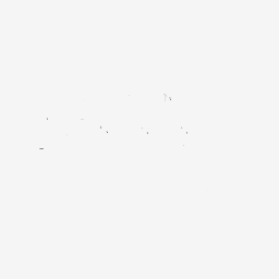 CCC1(C#N)CCN(C2=NC(NCc3ccco3)NC=C2)C1=O